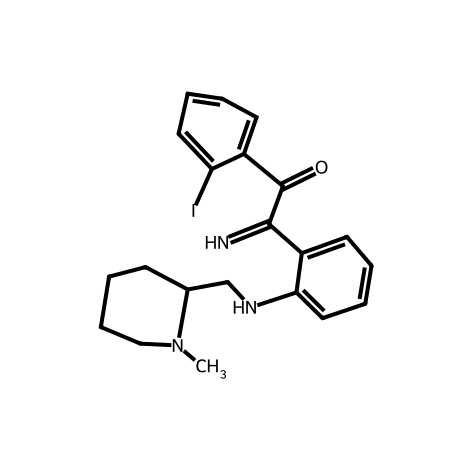 CN1CCCCC1CNc1ccccc1C(=N)C(=O)c1ccccc1I